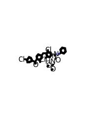 COC(CNC(=O)N(/N=C/c1ccccc1)c1cc(Cl)c(Cc2ccc(C(=O)c3ccc(Cl)cc3)c(C)c2)c(Cl)c1)OC